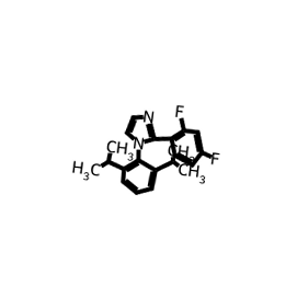 CC(C)c1cccc(C(C)C)c1-n1ccnc1-c1ccc(F)cc1F